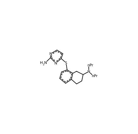 CCCN(CCC)C1CCc2cccc(Sc3ccnc(N)n3)c2C1